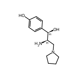 N[C@H](CN1CCCC1)[C@H](O)c1ccc(O)cc1